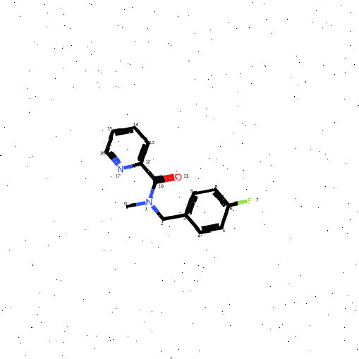 CN(Cc1ccc(F)cc1)C(=O)c1ccccn1